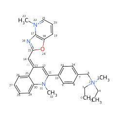 CC[N+](C)(CC)Cc1ccc(C2=C/C(=C\c3nc4c(ccc[n+]4C)o3)c3ccccc3N2C)cc1